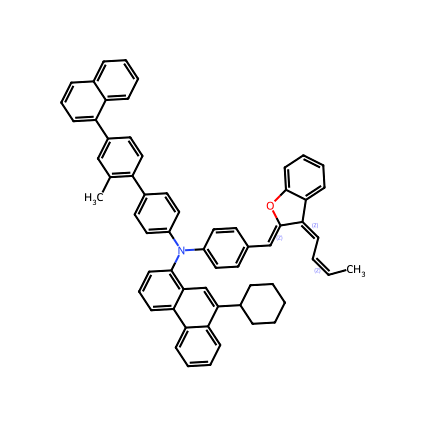 C\C=C/C=c1\c(=C\c2ccc(N(c3ccc(-c4ccc(-c5cccc6ccccc56)cc4C)cc3)c3cccc4c3cc(C3CCCCC3)c3ccccc34)cc2)oc2ccccc12